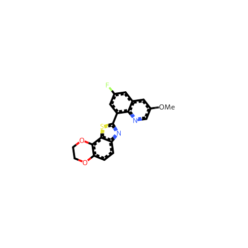 COc1cnc2c(-c3nc4ccc5c(c4s3)OCCO5)cc(F)cc2c1